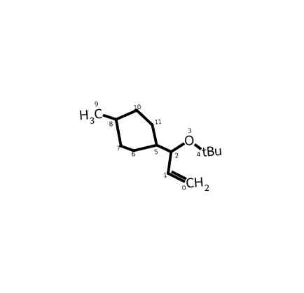 C=CC(OC(C)(C)C)C1CCC(C)CC1